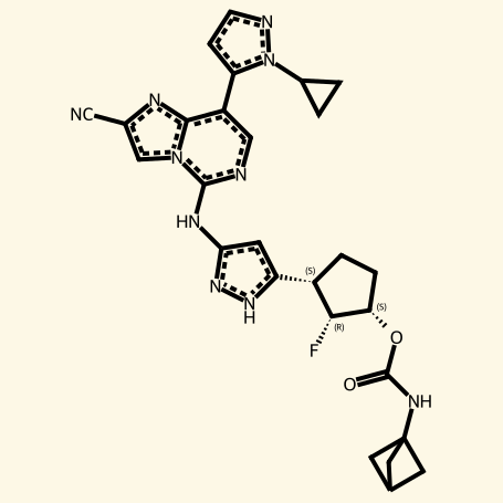 N#Cc1cn2c(Nc3cc([C@@H]4CC[C@H](OC(=O)NC56CC(C5)C6)[C@@H]4F)[nH]n3)ncc(-c3ccnn3C3CC3)c2n1